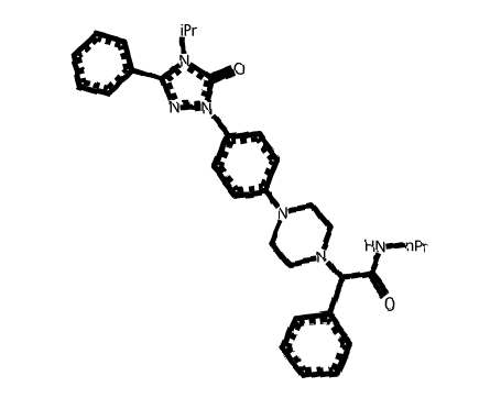 CCCNC(=O)C(c1ccccc1)N1CCN(c2ccc(-n3nc(-c4ccccc4)n(C(C)C)c3=O)cc2)CC1